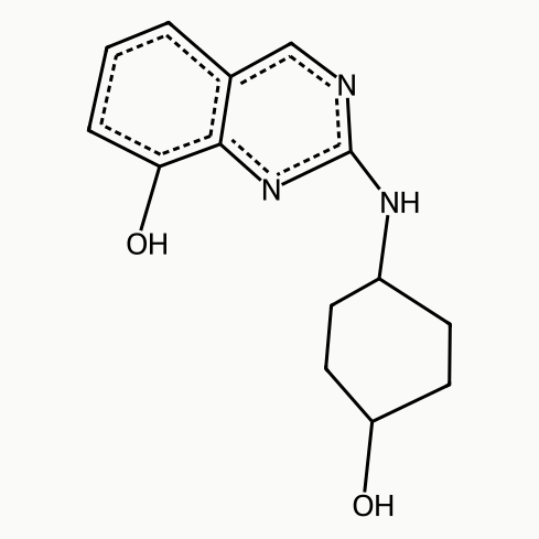 Oc1cccc2cnc(NC3CCC(O)CC3)nc12